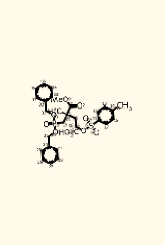 COC(=O)[C@](C)(C[C@H](OS(=O)(=O)c1ccc(C)cc1)C(=O)O)CP(=O)(OCc1ccccc1)OCc1ccccc1